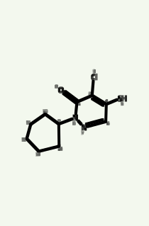 O=c1c(Cl)c(S)cnn1C1CCCCC1